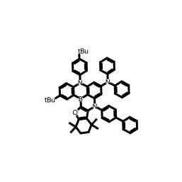 CC(C)(C)c1ccc(N2c3ccc(C(C)(C)C)cc3B3c4oc5c(c4N(c4ccc(-c6ccccc6)cc4)c4cc(N(c6ccccc6)c6ccccc6)cc2c43)C(C)(C)CCC5(C)C)cc1